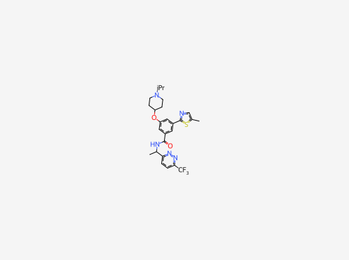 Cc1cnc(-c2cc(OC3CCN(C(C)C)CC3)cc(C(=O)NC(C)c3ccc(C(F)(F)F)nn3)c2)s1